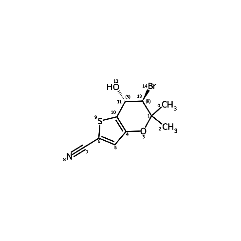 CC1(C)Oc2cc(C#N)sc2[C@H](O)[C@H]1Br